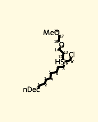 CCCCCCCCCCCCCCCCCC[SiH](CCl)CCCOCCOC